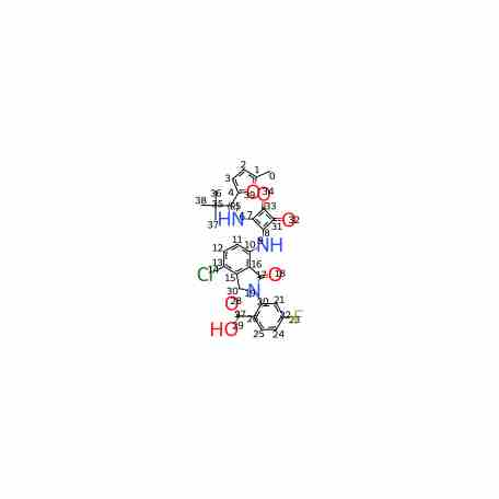 Cc1ccc([C@H](Nc2c(Nc3ccc(Cl)c4c3C(=O)N(c3cc(F)ccc3C(=O)O)C4)c(=O)c2=O)C(C)(C)C)o1